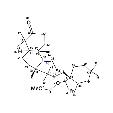 COCOC(C(C)C)[C@]1(CCC(C)(C)[C@]2(C)CC[C@H]3C(C)(C)C(=O)CC[C@]3(C)/C2=C/C(C)=O)CCC(C)(C)CC1C